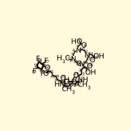 CCN1CCN(CC(=O)O)CCN(CC(=O)O)CCN(C(CCC(=O)NC(C)(C)COCC(C)(C)NC(=O)CCCCC(=O)Oc2c(F)c(F)cc(F)c2F)C(=O)O)CC1